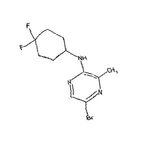 Cc1nc(Br)cnc1NC1CCC(F)(F)CC1